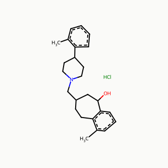 Cc1ccccc1C1CCN(CC2CCc3c(C)cccc3C(O)C2)CC1.Cl